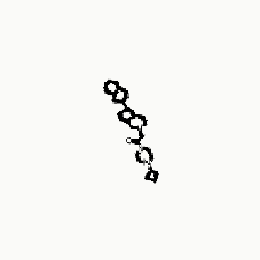 O=C(CN1CCc2cc(-c3ccc4ccccc4c3)ccc2C1)N1CCN(C2CCC2)CC1